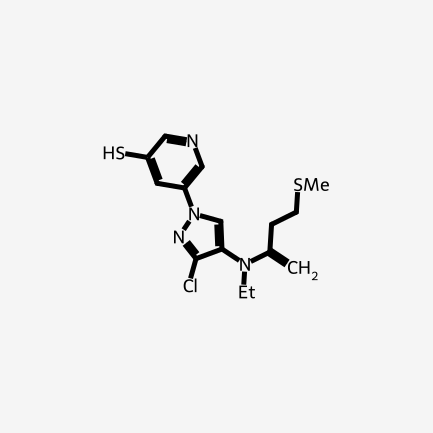 C=C(CCSC)N(CC)c1cn(-c2cncc(S)c2)nc1Cl